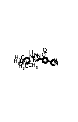 CC1(C)CC(Nc2ncc(-c3ccc(-c4ccnnc4)cc3OC=O)nn2)CC(C)(C)N1